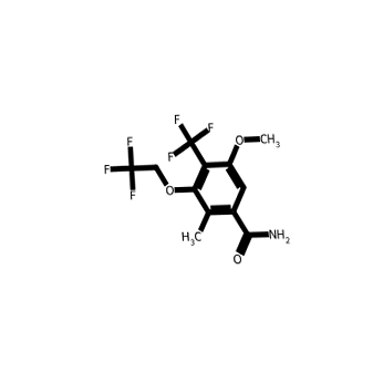 COc1cc(C(N)=O)c(C)c(OCC(F)(F)F)c1C(F)(F)F